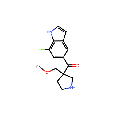 CCOCC1(C(=O)c2cc(F)c3[nH]ccc3c2)CCNC1